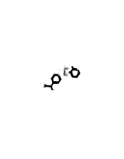 N#CC(C=O)c1ccc(NS(=O)(=O)c2cccc(Cl)c2Cl)cc1